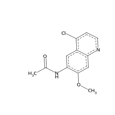 COc1cc2nccc(Cl)c2cc1NC(C)=O